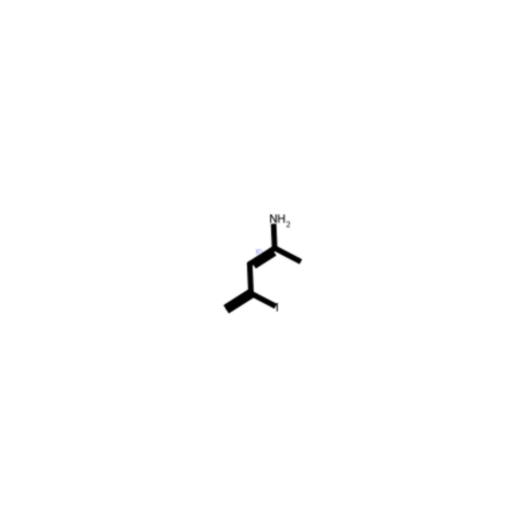 C=C(I)/C=C(\C)N